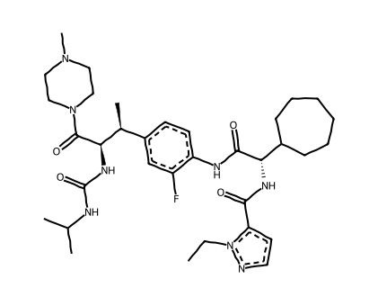 CCn1nccc1C(=O)N[C@H](C(=O)Nc1ccc([C@H](C)[C@@H](NC(=O)NC(C)C)C(=O)N2CCN(C)CC2)cc1F)C1CCCCCC1